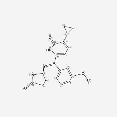 CCOc1cccc(/C(=C\[C@H]2CCC(=O)N2)c2ccc(C3CC3)c(=O)[nH]2)c1